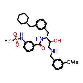 COc1cccc(CNC[C@@H](O)[C@H](Cc2cccc(CC3CCCCC3)c2)NC(=O)c2cccc(NS(=O)(=O)C(F)(F)F)c2)c1